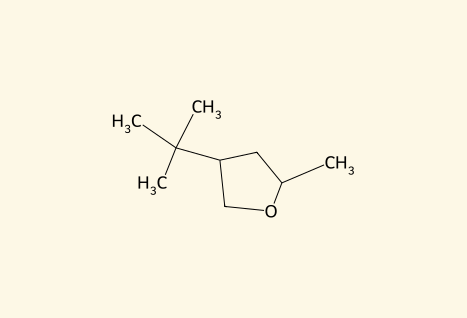 CC1CC(C(C)(C)C)CO1